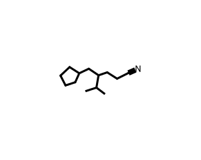 CC(C)C(CCC#N)CC1CCCC1